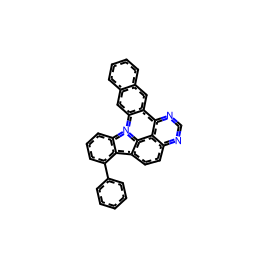 c1ccc(-c2cccc3c2c2ccc4ncnc5c6cc7ccccc7cc6n3c2c45)cc1